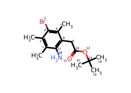 Cc1c(C)c(Br)c(C)c(CC(=O)OC(C)(C)C)c1N